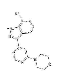 Brc1cccc2c(-c3ccnc(N4CCOCC4)c3)n[nH]c12